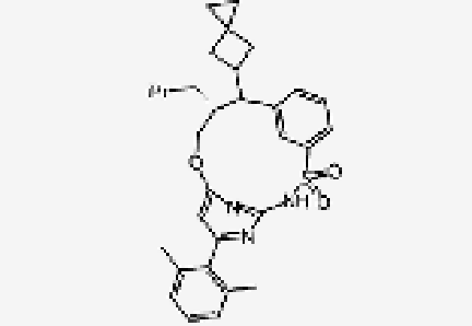 Cc1cccc(C)c1-c1cc2nc(n1)NS(=O)(=O)c1cccc(c1)C(C1CC3(CC3)C1)[C@@H](CC(C)C)CO2